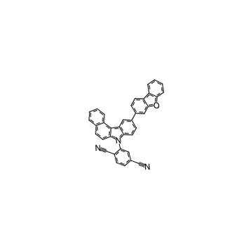 N#Cc1ccc(C#N)c(-n2c3ccc(-c4ccc5c(c4)oc4ccccc45)cc3c3c4ccccc4ccc32)c1